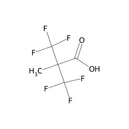 CC(C(=O)O)(C(F)(F)F)C(F)(F)F